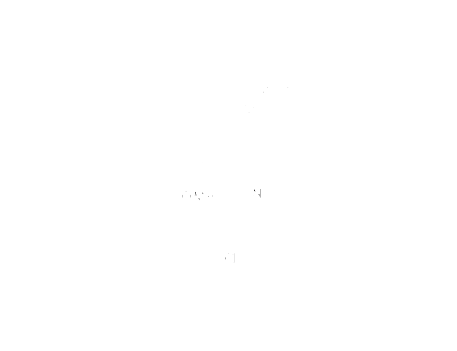 COc1ccccc1-c1cc(CCCl)ncc1CCOC=O